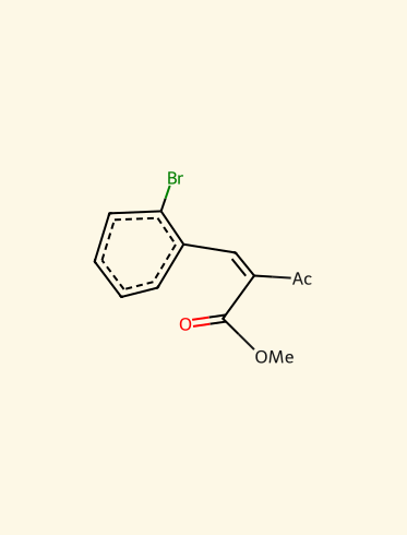 COC(=O)/C(=C\c1ccccc1Br)C(C)=O